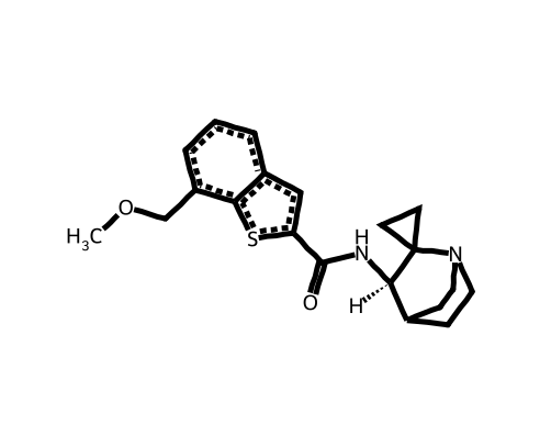 COCc1cccc2cc(C(=O)N[C@@H]3C4CCN(CC4)C34CC4)sc12